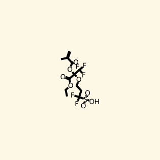 C=C(C)C(=O)OC(OCCC(F)(F)S(=O)(=O)O)(C(=O)OCC)C(F)(F)F